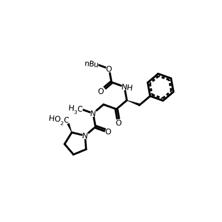 CCCCOC(=O)N[C@@H](Cc1ccccc1)C(=O)CN(C)C(=O)N1CCC[C@H]1C(=O)O